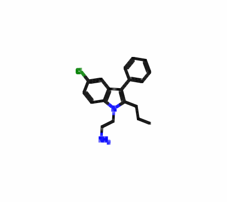 CCCc1c(-c2ccccc2)c2cc(Cl)ccc2n1CCN